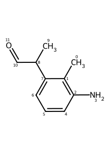 Cc1c(N)cccc1C(C)C=O